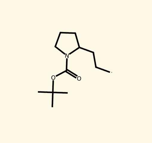 [CH2]CCC1CCCN1C(=O)OC(C)(C)C